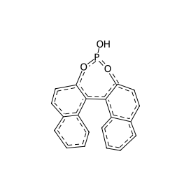 Op1oc2ccc3ccccc3c2c2c(ccc3ccccc32)o1